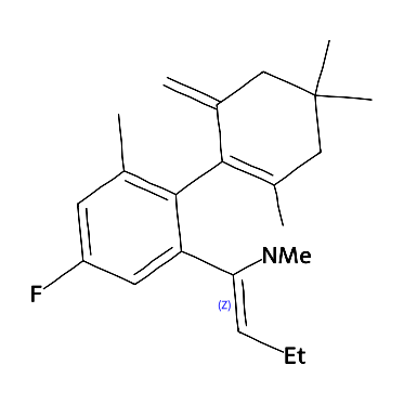 C=C1CC(C)(C)CC(C)=C1c1c(C)cc(F)cc1/C(=C/CC)NC